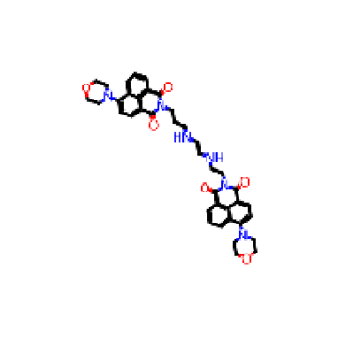 O=C1c2cccc3c(N4CCOCC4)ccc(c23)C(=O)N1CCCNCCNCCN1C(=O)c2cccc3c(N4CCOCC4)ccc(c23)C1=O